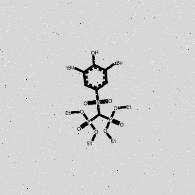 CCOP(=O)(OCC)C(P(=O)(OCC)OCC)S(=O)(=O)c1cc(C(C)(C)C)c(O)c(C(C)(C)C)c1